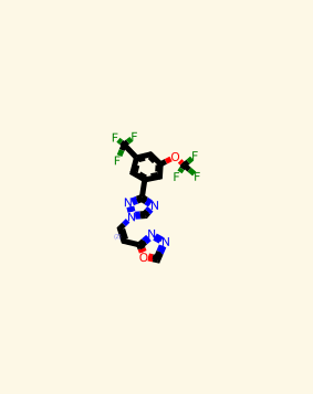 FC(F)(F)Oc1cc(-c2ncn(/C=C\c3nnco3)n2)cc(C(F)(F)F)c1